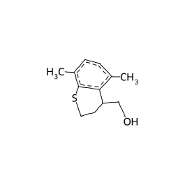 Cc1ccc(C)c2c1SCCC2CO